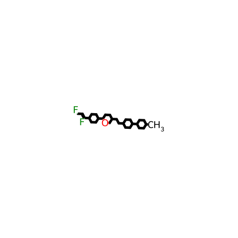 CC1CCC(C2CCC(CCC3CCC(C4CCC(/C(F)=C/CF)CC4)OC3)CC2)CC1